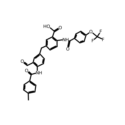 Cc1ccc(C(=O)Nc2ccc(Cc3ccc(NC(=O)c4ccc(OC(F)(F)F)cc4)c(C(=O)O)c3)cc2C=O)cc1